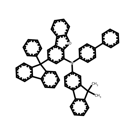 CC1(C)c2ccccc2-c2ccc(N(c3ccc(-c4ccccc4)cc3)c3cc(C4(c5ccccc5)c5ccccc5-c5ccccc54)cc4c3oc3ccccc34)cc21